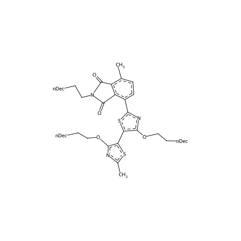 CCCCCCCCCCCCOc1nc(C)sc1-c1sc(-c2ccc(C)c3c2C(=O)N(CCCCCCCCCCCC)C3=O)nc1OCCCCCCCCCCCC